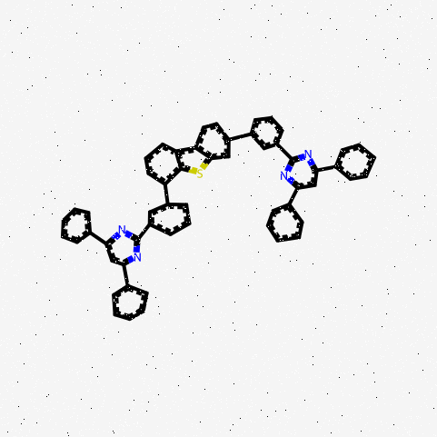 c1ccc(-c2cc(-c3ccccc3)nc(-c3cccc(-c4ccc5c(c4)sc4c(-c6cccc(-c7nc(-c8ccccc8)cc(-c8ccccc8)n7)c6)cccc45)c3)n2)cc1